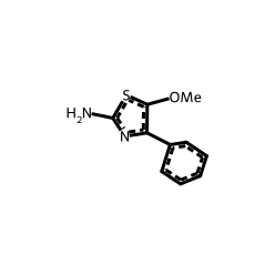 COc1sc(N)nc1-c1ccccc1